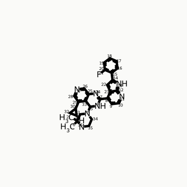 CC1(C)CN(C2NC(c3ccnc4[nH]c(-c5ccccc5F)cc34)=Nc3cncc(C4CC4)c32)CCN1